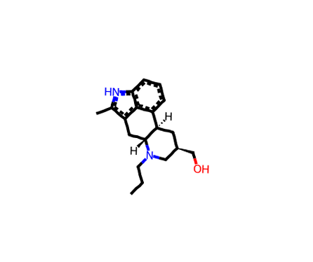 CCCN1C[C@H](CO)C[C@@H]2c3cccc4[nH]c(C)c(c34)C[C@H]21